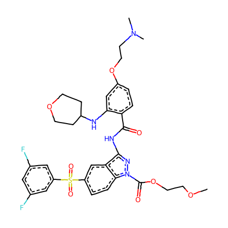 COCCOC(=O)n1nc(NC(=O)c2ccc(OCCN(C)C)cc2NC2CCOCC2)c2cc(S(=O)(=O)c3cc(F)cc(F)c3)ccc21